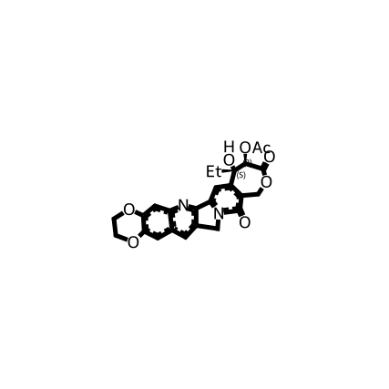 CC[C@]1(O)c2cc3n(c(=O)c2COC(=O)[C@@H]1OC(C)=O)Cc1cc2cc4c(cc2nc1-3)OCCO4